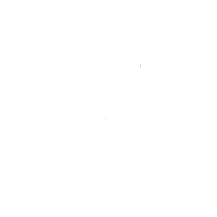 Cc1cccc(Cn2cc(C(=O)c3ccc(Cl)cc3)c(=O)c3cc4c(cc32)OCO4)c1